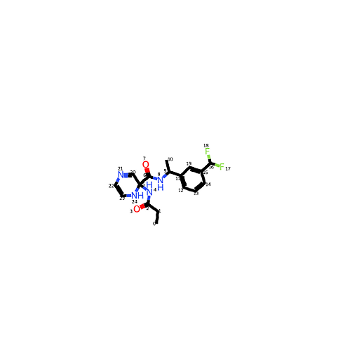 CCC(=O)NC1(C(=O)NC(C)c2cccc(C(F)F)c2)C=NC=CN1